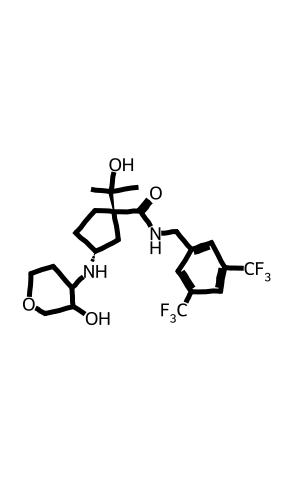 CC(C)(O)[C@]1(C(=O)NCc2cc(C(F)(F)F)cc(C(F)(F)F)c2)CC[C@@H](NC2CCOCC2O)C1